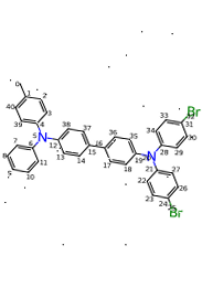 Cc1ccc(N(c2ccccc2)c2ccc(-c3ccc(N(c4ccc(Br)cc4)c4ccc(Br)cc4)cc3)cc2)cc1